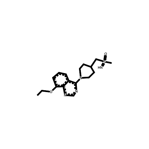 CCOc1cccc2c(N3CCC(CS(C)(=N)=O)CC3)ncnc12